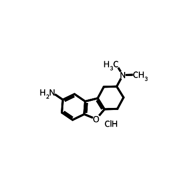 CN(C)C1CCc2oc3ccc(N)cc3c2C1.Cl